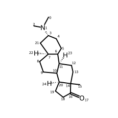 CN(C)[C@@H]1CCC2[C@@H](CCC3[C@@H]2CCC2(C)C(=O)CC[C@@H]32)C1